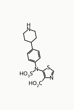 O=C(O)c1ncsc1N(c1ccc(C2CCNCC2)cc1)S(=O)(=O)O